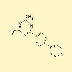 Cc1nc(C)nc(-c2ccc(-c3ccncc3)cc2)n1